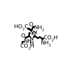 NC(=O)/C=C\C(=O)O.NC(CCC(=O)NC(CS)C(=O)NCC(=O)O)C(=O)O